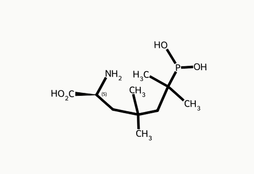 CC(C)(C[C@H](N)C(=O)O)CC(C)(C)P(O)O